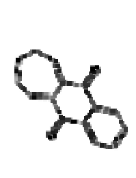 O=C1C2=CC=CCC=C2C(=O)c2ccccc21